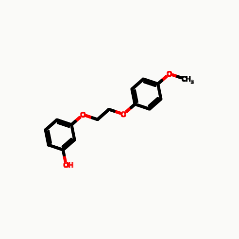 COc1ccc(OCCOc2cccc(O)c2)cc1